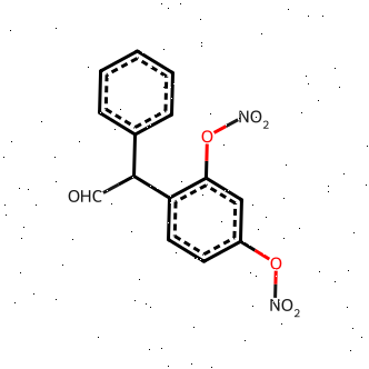 O=CC(c1ccccc1)c1ccc(O[N+](=O)[O-])cc1O[N+](=O)[O-]